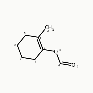 CC1=C(OC=O)CCCC1